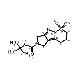 CC(C)(C)OC(=O)N1Cc2nn3c(c2C1)CCCS3(=O)=O